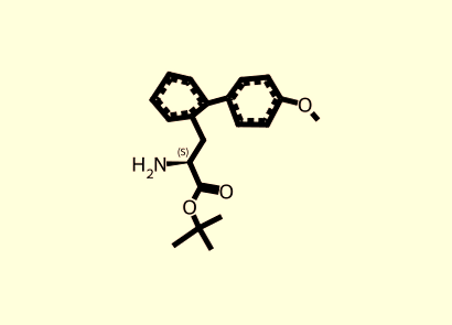 COc1ccc(-c2ccccc2C[C@H](N)C(=O)OC(C)(C)C)cc1